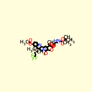 CCC1(OC(=O)CCNC(=O)OC(C)(C)C)C(=O)OCc2c1cc1n(c2=O)Cc2c-1nc1ccc(OC(C)=O)cc1c2[Si](C)(C)CCC(F)(F)F